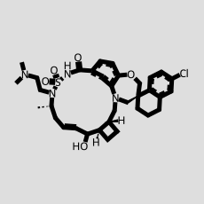 C[C@H]1C/C=C/C(O)[C@@H]2CC[C@H]2CN2C[C@@]3(CCCc4cc(Cl)ccc43)COc3ccc(cc32)C(=O)NS(=O)(=O)N1CCN(C)C